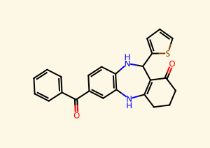 O=C1CCCC2=C1C(c1cccs1)Nc1ccc(C(=O)c3ccccc3)cc1N2